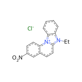 CCn1c2ccccc2[n+]2c3ccc([N+](=O)[O-])cc3ccc12.[Cl-]